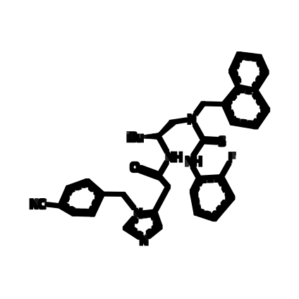 CC[C@H](C)[C@@H](CN(Cc1cccc2ccccc12)C(=S)Nc1ccccc1F)NC(=O)Cc1cncn1Cc1ccc(C#N)cc1